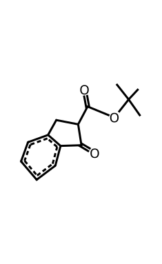 CC(C)(C)OC(=O)C1Cc2ccccc2C1=O